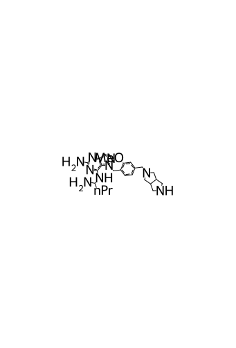 CCCC(N)Nc1nc(N)nc2cnn(Cc3ccc(CN4CC5CNCC5C4)cc3OC)c12